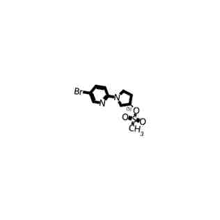 CS(=O)(=O)O[C@H]1CCN(c2ccc(Br)cn2)C1